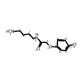 NCCCCNC(=O)COc1ccc(Cl)cc1